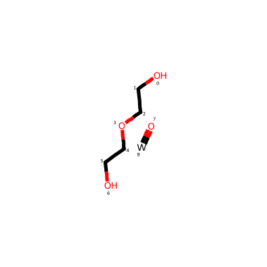 OCCOCCO.[O]=[W]